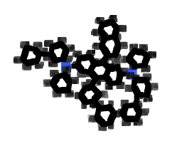 c1ccc(-c2cccc(-c3c4ccc(N(c5ccccc5)c5cccc(-c6ccccc6)c5)cc4c(-c4ccc5ccccc5c4)c4ccc(N(c5ccccc5)c5cccc(-c6ccccc6)c5)cc34)c2)cc1